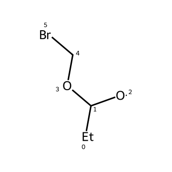 CCC([O])OCBr